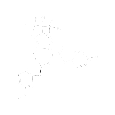 COc1cccc(O[C@H]2CCc3cc4c(cc3N(C(=O)Cc3ccc(Cl)nc3)C2)C(C)(F)C4(O)C(F)(F)F)c1